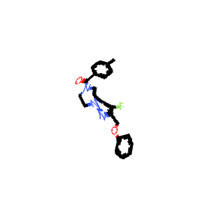 Cc1ccc(C(=O)N2CCn3nc(COc4ccccc4)c(F)c3C2)cc1